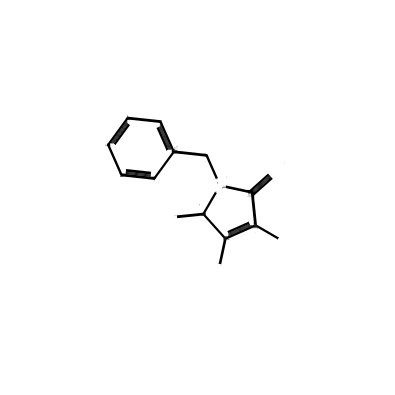 CCC1=C(Cl)C(=O)N(Cc2ccccc2)C1O